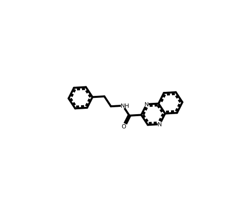 O=C(NCCc1ccccc1)c1cnc2ccccc2n1